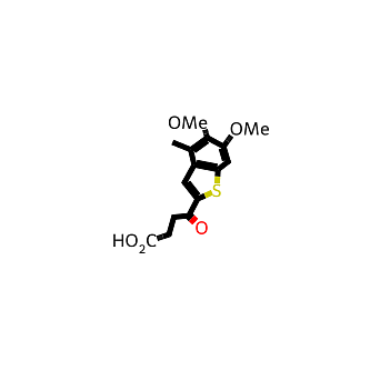 COc1cc2sc(C(=O)CCC(=O)O)cc2c(C)c1OC